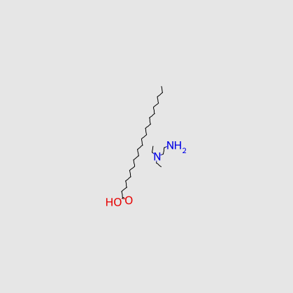 CCCCCCCCCCCCCCCCCCCCCC(=O)O.CCN(CC)CCN